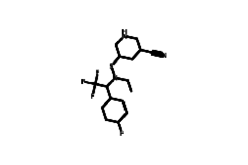 CCN(SC1CNCC(C#N)C1)C(C1CCC(F)CC1)C(F)(F)F